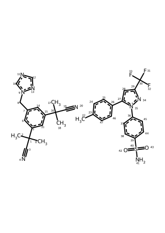 CC(C)(C#N)c1cc(Cn2cncn2)cc(C(C)(C)C#N)c1.Cc1ccc(-c2cc(C(F)(F)F)nn2-c2ccc(S(N)(=O)=O)cc2)cc1